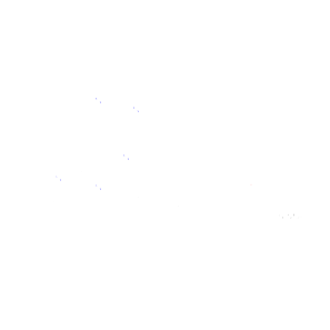 CNCC(O)COc1cccc(-c2nc(-c3nccn3C)cc(N(C)C3CCCCC3)n2)c1